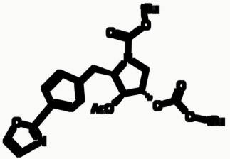 CC(=O)O[C@@H]1[C@@H](OC(=O)OC(C)(C)C)CN(C(=O)OC(C)(C)C)[C@@H]1Cc1ccc(-c2ncco2)cc1